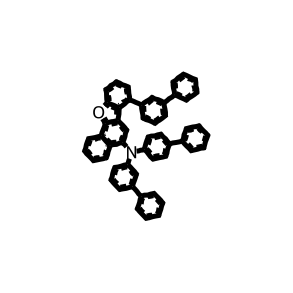 c1ccc(-c2ccc(N(c3cccc(-c4ccccc4)c3)c3cc4c(oc5cccc(-c6cccc(-c7ccccc7)c6)c54)c4ccccc34)cc2)cc1